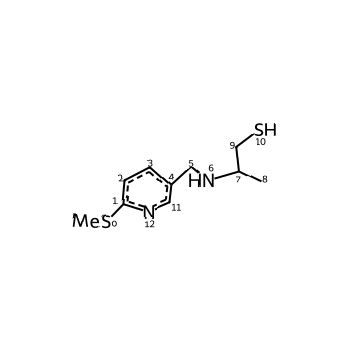 CSc1ccc(CNC(C)CS)cn1